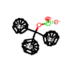 [O-][Cl+3]([O-])([O-])OC([C]12[CH]3[CH]4[CH]5[CH]1[Fe]45321678[CH]2[CH]1[CH]6[CH]7[CH]28)([C]12[CH]3[CH]4[CH]5[CH]1[Fe]45321678[CH]2[CH]1[CH]6[CH]7[CH]28)[C]12[CH]3[CH]4[CH]5[CH]1[Fe]45321678[CH]2[CH]1[CH]6[CH]7[CH]28